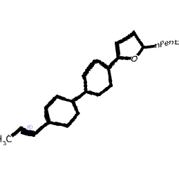 C/C=C/C1CCC(C2CCC(C3CCC(CCCCC)O3)CC2)CC1